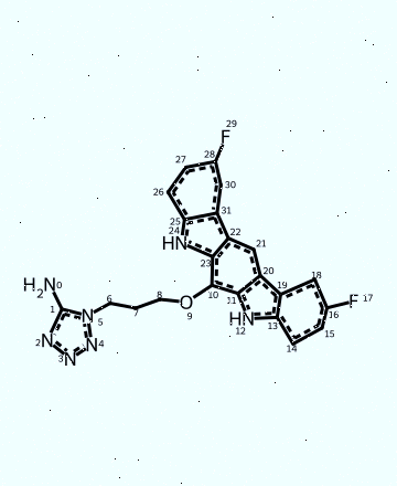 Nc1nnnn1CCCOc1c2[nH]c3ccc(F)cc3c2cc2c1[nH]c1ccc(F)cc12